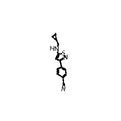 N#Cc1ccc(-c2cc(NCC3CC3)sn2)cc1